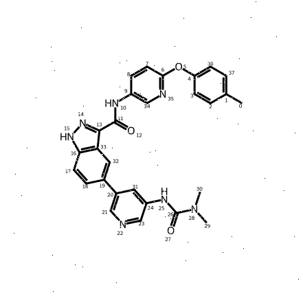 Cc1ccc(Oc2ccc(NC(=O)c3n[nH]c4ccc(-c5cncc(NC(=O)N(C)C)c5)cc34)cn2)cc1